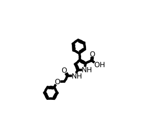 O=C(COc1ccccc1)Nc1cc(-c2ccccc2)c(C(=O)O)[nH]1